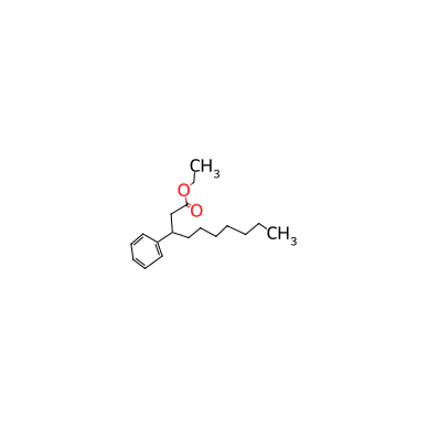 CCCCCCCC(CC(=O)OCC)c1ccccc1